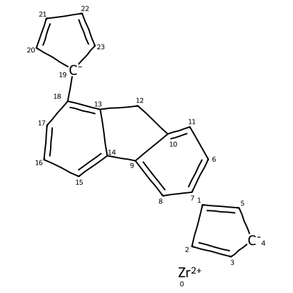 [Zr+2].c1cc[cH-]c1.c1ccc2c(c1)Cc1c-2cccc1-[c-]1cccc1